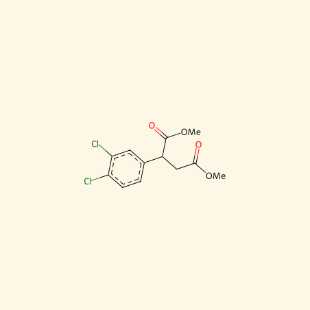 COC(=O)CC(C(=O)OC)c1ccc(Cl)c(Cl)c1